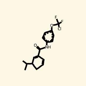 CC(C)C1C=C(C(=O)Nc2ccc(OC(F)(F)Cl)cc2)C=CC1